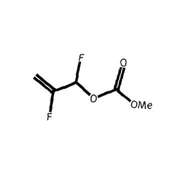 C=C(F)C(F)OC(=O)OC